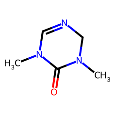 CN1C=NCN(C)C1=O